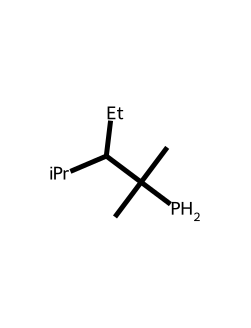 CCC(C(C)C)C(C)(C)P